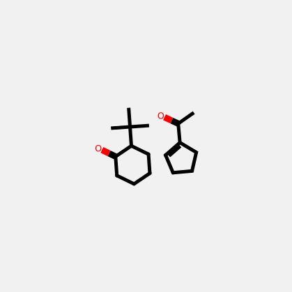 CC(=O)C1=CCCC1.CC(C)(C)C1CCCCC1=O